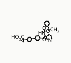 CC(OC(=O)Nc1c(-c2ccc(-c3ccc(C4(C(=O)O)CC4)cc3)cc2)oc2ncccc12)c1ccccc1